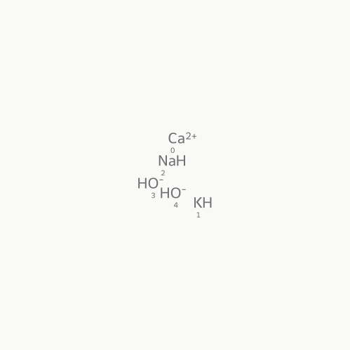 [Ca+2].[KH].[NaH].[OH-].[OH-]